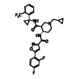 O=C(N[C@H]1CCN(CC2CC2)C[C@@H]1C(=O)NC1(c2ccccc2C(F)(F)F)CC1)c1cc(-c2ccc(F)cc2F)on1